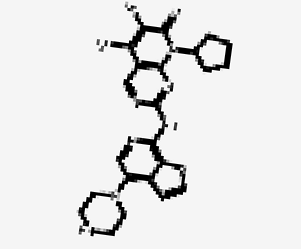 CC(=O)c1c(C)c2cnc(Nc3ncc(N4CCNCC4)c4ccsc34)nc2n(C2CCCC2)c1=O